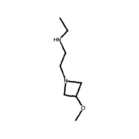 CCNCCN1CC(OC)C1